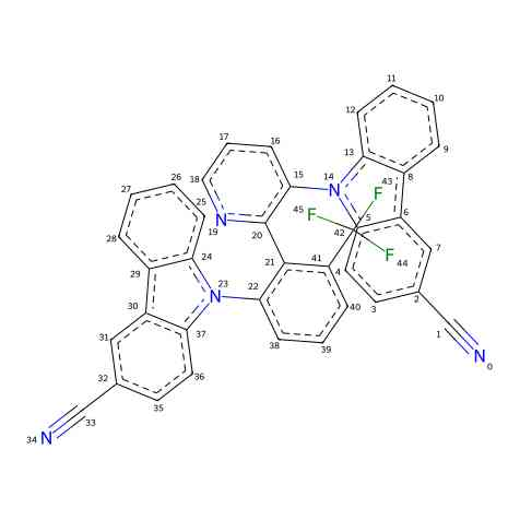 N#Cc1ccc2c(c1)c1ccccc1n2-c1cccnc1-c1c(-n2c3ccccc3c3cc(C#N)ccc32)cccc1C(F)(F)F